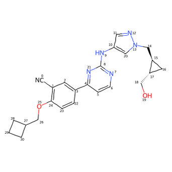 N#Cc1cc(-c2ccnc(Nc3cnn(C[C@H]4C[C@@H]4CO)c3)n2)ccc1OCC1CCC1